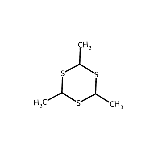 CC1SC(C)SC(C)S1